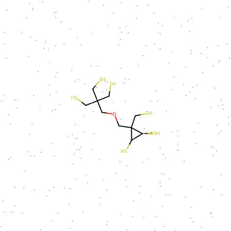 SCC(CS)(CS)COCC1(CS)C(S)[C@@H]1S